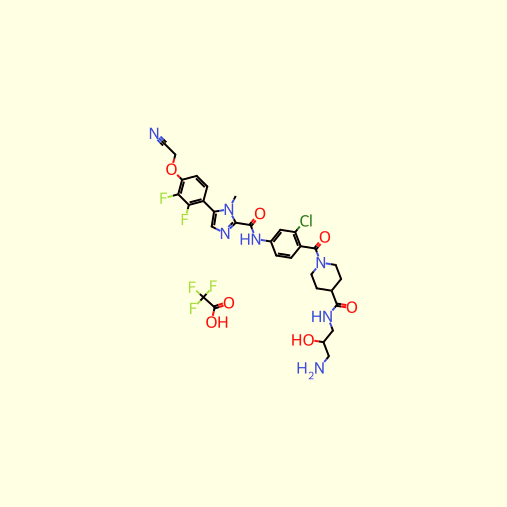 Cn1c(-c2ccc(OCC#N)c(F)c2F)cnc1C(=O)Nc1ccc(C(=O)N2CCC(C(=O)NCC(O)CN)CC2)c(Cl)c1.O=C(O)C(F)(F)F